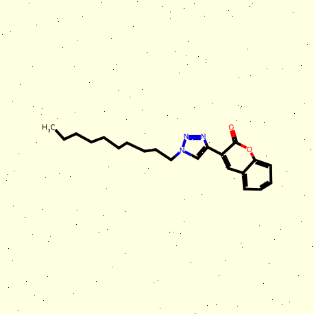 CCCCCCCCCCn1cc(-c2cc3ccccc3oc2=O)nn1